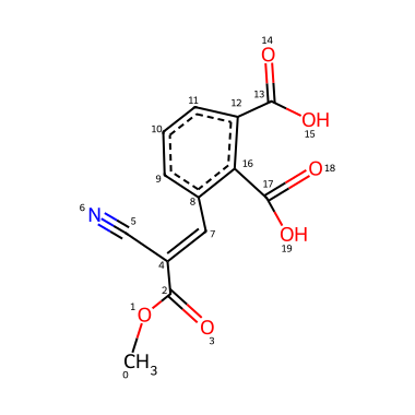 COC(=O)/C(C#N)=C/c1cccc(C(=O)O)c1C(=O)O